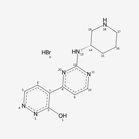 Br.Oc1nnccc1-c1ccnc(N[C@H]2CCCNC2)n1